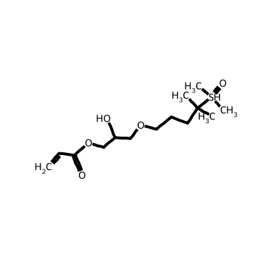 C=CC(=O)OCC(O)COCCCC(C)(C)[SH](C)(C)=O